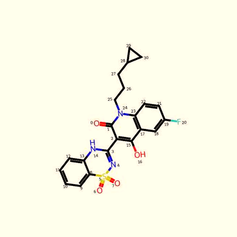 O=c1c(C2=NS(=O)(=O)c3ccccc3N2)c(O)c2cc(F)ccc2n1CCCC1CC1